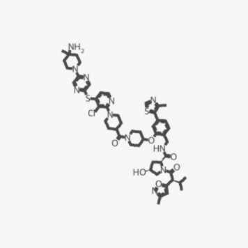 Cc1cc([C@@H](C(=O)N2C[C@H](O)C[C@H]2C(=O)NCc2ccc(-c3scnc3C)cc2OC2CCN(C(=O)C3CCN(c4nccc(Sc5cnc(N6CCC(C)(N)CC6)cn5)c4Cl)CC3)CC2)C(C)C)on1